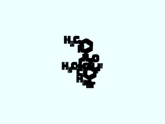 Cc1cccc(N(CC(C)(C)C)C(=O)c2ccc(Br)cc2F)n1